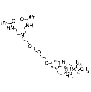 CC(C)C(=O)NCCN(CCNC(=O)C(C)C)CCOCCOCCOc1ccc2c(c1)CC[C@@H]1[C@@H]2CC[C@]2(C)[C@@H](C)CC[C@@H]12